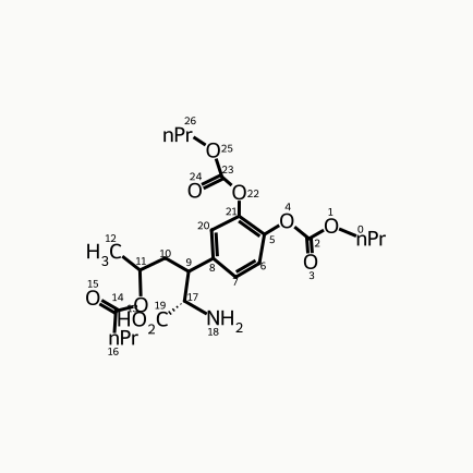 CCCOC(=O)Oc1ccc(C(CC(C)OC(=O)CCC)[C@H](N)C(=O)O)cc1OC(=O)OCCC